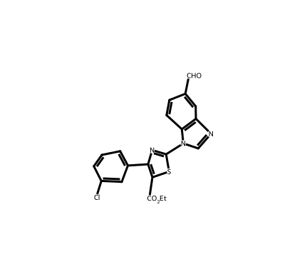 CCOC(=O)c1sc(-n2cnc3cc(C=O)ccc32)nc1-c1cccc(Cl)c1